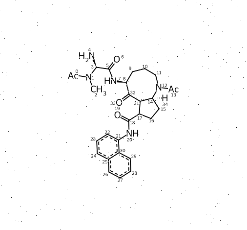 CC(=O)N(C)[C@@H](N)C(=O)N[C@H]1CCCN(C(C)=O)[C@H]2CCC(C(=O)Nc3cccc4ccccc34)C2C1=O